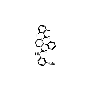 Cc1cccc(F)c1C(=O)N1CCC[C@H](C(=O)Nc2cccc(C(C)(C)C)c2)[C@@H]1c1ccccc1